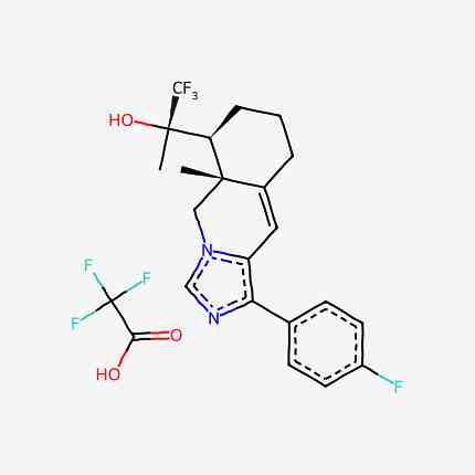 C[C@]12Cn3cnc(-c4ccc(F)cc4)c3C=C1CCC[C@@H]2[C@](C)(O)C(F)(F)F.O=C(O)C(F)(F)F